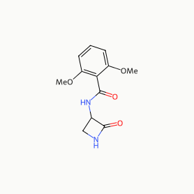 COc1cccc(OC)c1C(=O)NC1CNC1=O